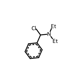 CCN(CC)C(Cl)c1ccccc1